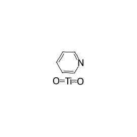 [O]=[Ti]=[O].c1ccncc1